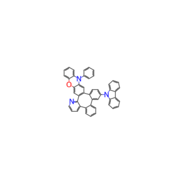 c1ccc(-n2c3ccccc3oc3cc4c(cc32)c2ccc(-n3c5ccccc5c5ccccc53)cc2c2ccccc2c2cccnc24)cc1